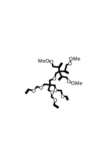 C=COCOCC(COCOC=C)(COCOC=C)COCC(C(=C)COOC)(C(=C)COOC)C(=C)COOC